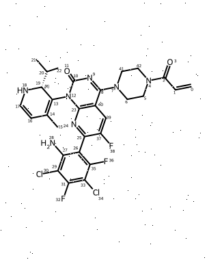 C=CC(=O)N1CCN(c2nc(=O)n(C3=C(C)C=CN[C@@H]3C(C)C)c3nc(-c4c(N)c(Cl)c(F)c(Cl)c4F)c(F)cc23)CC1